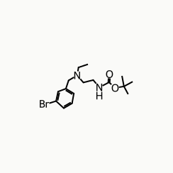 CCN(CCNC(=O)OC(C)(C)C)Cc1cccc(Br)c1